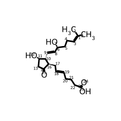 CC(C)=CCC[C@H](O)C=C[C@H]1[C@H](O)CC(=O)[C@@H]1CC=CCCCC(=O)O